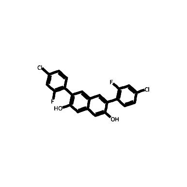 Oc1cc2cc(O)c(-c3ccc(Cl)cc3F)cc2cc1-c1ccc(Cl)cc1F